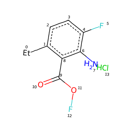 CCc1ccc(F)c(N)c1C(=O)OF.Cl